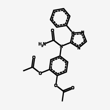 CC(=O)Oc1ccc(N(C(N)=O)c2ncnn2-c2ccccc2)cc1OC(C)=O